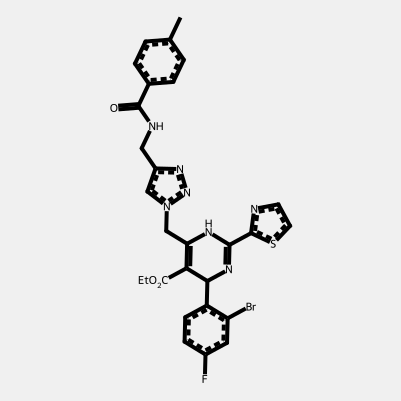 CCOC(=O)C1=C(Cn2cc(CNC(=O)c3ccc(C)cc3)nn2)NC(c2nccs2)=NC1c1ccc(F)cc1Br